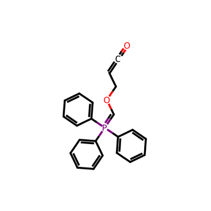 O=C=CCOC=P(c1ccccc1)(c1ccccc1)c1ccccc1